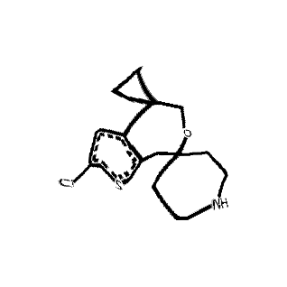 Clc1cc2c(s1)C1(CCNCC1)OCC21CC1